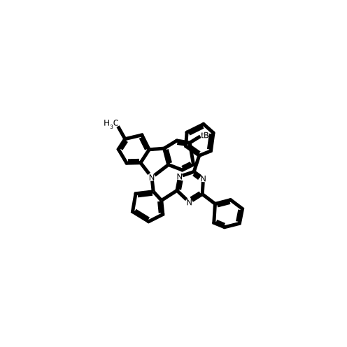 Cc1ccc2c(c1)c1cc(C(C)(C)C)ccc1n2-c1ccccc1-c1nc(-c2ccccc2)nc(-c2ccccc2)n1